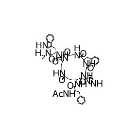 CC(=O)N[C@@H](Cc1ccccc1)C(=O)NC1CCC(=O)NCCC(C(=O)N[C@@H](Cc2c[nH]c3ccccc23)C(N)=O)NC(=O)CNC(=O)C(Cc2ccccc2)NC(=O)[C@H](Cc2c[nH]cn2)NC1=O